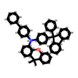 CC1(C)c2ccccc2Oc2c(N(c3ccc(-c4ccccc4)cc3)c3ccc(C4(c5ccccc5)c5ccccc5-c5ccccc54)cc3)cccc21